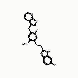 COc1cc(Cc2c[nH]c3ncccc23)c(F)cc1OCc1nc2ccc(Cl)cc2[nH]1